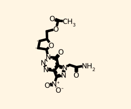 CC(=O)OCC1[CH][CH]C(n2nnc3c([N+](=O)[O-])nn(CC(N)=O)c3c2=O)O1